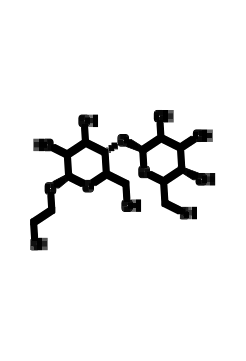 OCC1O[C@@H](OCCS)C(O)C(O)[C@@H]1O[C@@H]1OC(CS)[C@H](O)C(O)C1O